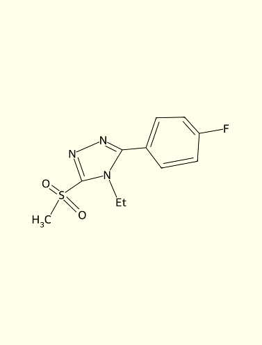 CCn1c(-c2ccc(F)cc2)nnc1S(C)(=O)=O